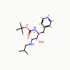 CC(C)CNC[C@@H](O)[C@H](Cc1ccncc1)NC(=O)OC(C)(C)C